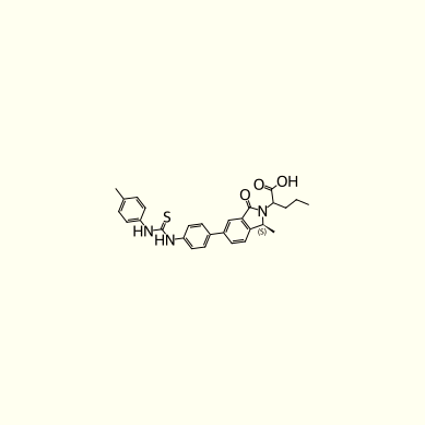 CCCC(C(=O)O)N1C(=O)c2cc(-c3ccc(NC(=S)Nc4ccc(C)cc4)cc3)ccc2[C@@H]1C